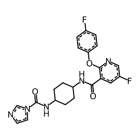 O=C(NC1CCC(NC(=O)n2ccnc2)CC1)c1cc(F)cnc1Oc1ccc(F)cc1